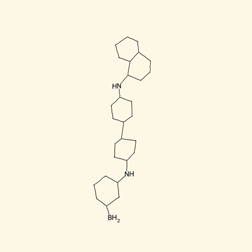 BC1CCCC(NC2CCC(C3CCC(NC4CCCC5CCCCC54)CC3)CC2)C1